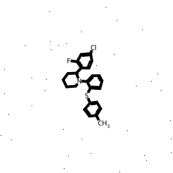 Cc1ccc(Sc2ccccc2N2CCCCC2c2ccc(Cl)cc2F)cc1